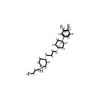 FCCC[Si@H]1CC[C@H](CCCC[C@H]2CC[C@H](c3ccc(F)c(F)c3)CC2)CC1